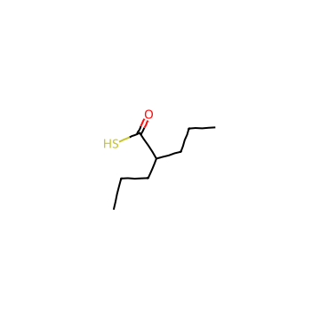 CCCC(CCC)C(=O)S